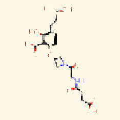 O=C(O)CCC(=O)NCC(=O)N1CC(Oc2ccc(CCB(O)O)c(O)c2C(=O)O)C1